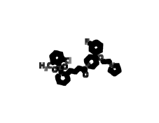 Cc1cccc(Cl)c1S(=O)(=O)N1CCCCC1CCCC(=O)N1CCC(OCCN2CCCC2)(c2cccc(F)c2)CC1